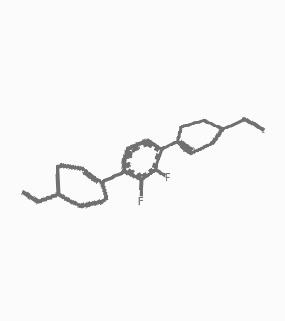 CCC1CC=C(c2ccc(C3=CCC(CC)CC3)c(F)c2F)CC1